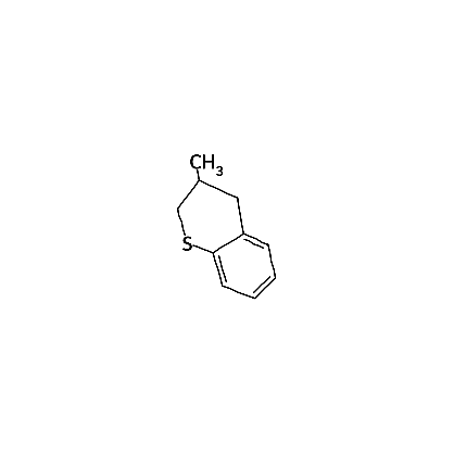 CC1CSc2ccccc2C1